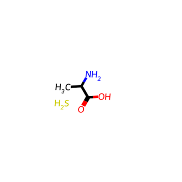 CC(N)C(=O)O.S